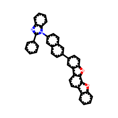 c1ccc(-c2nc3ccccc3n2-c2ccc3cc(-c4ccc5oc6c(ccc7c8ccccc8oc76)c5c4)ccc3c2)cc1